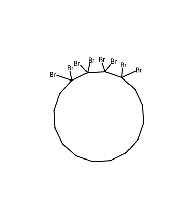 BrC1(Br)CCCCCCCCCCCCC(Br)(Br)C(Br)(Br)C1(Br)Br